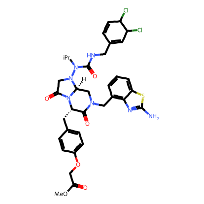 COC(=O)COc1ccc(C[C@H]2C(=O)N(Cc3cccc4sc(N)nc34)C[C@H]3N2C(=O)CN3N(C(=O)NCC2=CC(Cl)C(Cl)C=C2)C(C)C)cc1